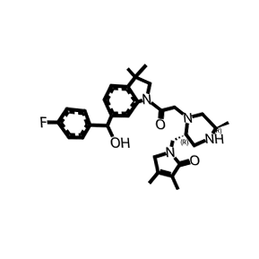 CC1=C(C)C(=O)N(C[C@H]2CN[C@H](C)CN2CC(=O)N2CC(C)(C)c3ccc(C(O)c4ccc(F)cc4)cc32)C1